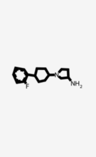 NC1CCN(C2CCC(c3ccccc3F)CC2)C1